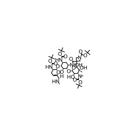 CNCC1=CC[C@@H](NC(=O)OC(C)(C)C)[C@@H](O[C@H]2[C@H](O)[C@@H](O[C@H]3OC[C@](C)(O)[C@H](N(C)C(=O)OC(C)(C)C)[C@H]3O)[C@H](NC(=O)C3(O)CN(C(=O)OC(C)(C)C)C3)C[C@@H]2NC(=O)OC(C)(C)C)O1